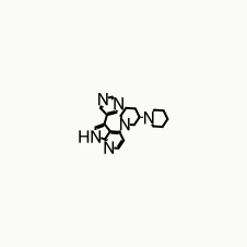 c1ncc(-c2c[nH]c3nccc(N4CCC[C@H](N5CCCCC5)C4)c23)cn1